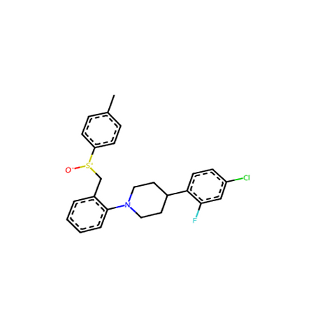 Cc1ccc([S+]([O-])Cc2ccccc2N2CCC(c3ccc(Cl)cc3F)CC2)cc1